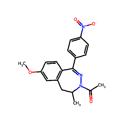 COc1ccc2c(c1)CC(C)N(C(C)=O)N=C2c1ccc([N+](=O)[O-])cc1